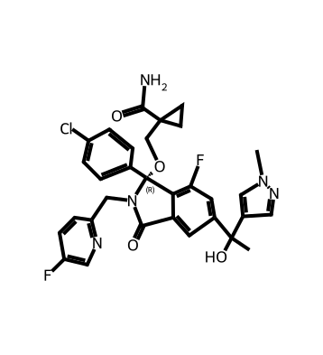 Cn1cc(C(C)(O)c2cc(F)c3c(c2)C(=O)N(Cc2ccc(F)cn2)[C@@]3(OCC2(C(N)=O)CC2)c2ccc(Cl)cc2)cn1